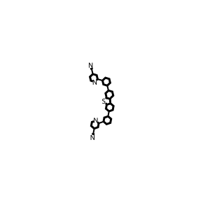 N#Cc1ccnc(-c2cccc(-c3ccc4c(c3)sc3cc(-c5cccc(-c6cc(C#N)ccn6)c5)ccc34)c2)c1